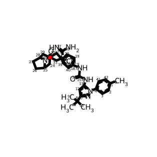 Cc1ccc(-n2nc(C(C)(C)C)cc2NC(=O)Nc2ccc(CC3CC4CCC(C3)N4C(=O)CN(C)C(=N)N)cc2)cc1